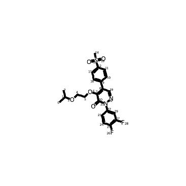 CC(C)OCCOc1c(-c2ccc(S(C)(=O)=O)cc2)cnn(-c2ccc(F)c(F)c2)c1=O